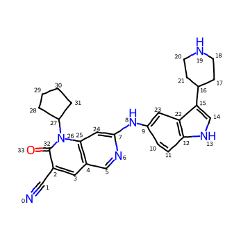 N#Cc1cc2cnc(Nc3ccc4[nH]cc(C5CCNCC5)c4c3)cc2n(C2CCCC2)c1=O